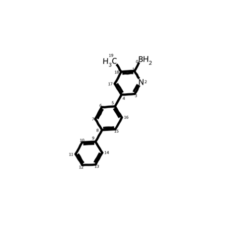 Bc1ncc(-c2ccc(-c3ccccc3)cc2)cc1C